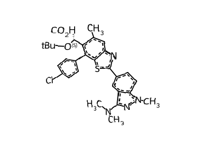 Cc1cc2nc(-c3ccc4c(c3)c(N(C)C)nn4C)sc2c(-c2ccc(Cl)cc2)c1[C@H](OC(C)(C)C)C(=O)O